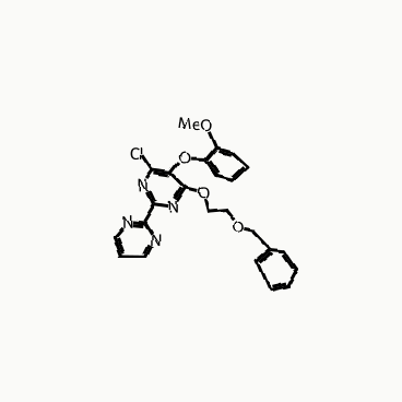 COc1ccccc1Oc1c(Cl)nc(-c2ncccn2)nc1OCCOCc1ccccc1